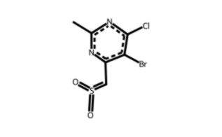 Cc1nc(Cl)c(Br)c(C=S(=O)=O)n1